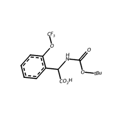 CC(C)(C)OC(=O)NC(C(=O)O)c1ccccc1OC(F)(F)F